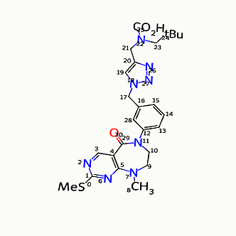 CSc1ncc2c(n1)N(C)CCN(c1cccc(Cn3cc(CN(CC(C)(C)C)C(=O)O)nn3)c1)C2=O